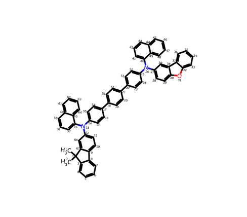 CC1(C)c2ccccc2-c2ccc(N(c3ccc(-c4ccc(-c5ccc(N(c6ccc7oc8ccccc8c7c6)c6cccc7ccccc67)cc5)cc4)cc3)c3cccc4ccccc34)cc21